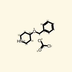 O=C(Cl)Cl.c1ccc(COC2CCNCC2)cc1